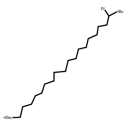 [CH2]CCCC(CC)CCCCCCCCCCCCCCCCCCCCCCCCCCC